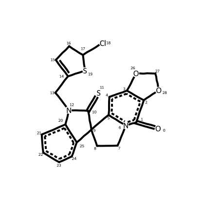 O=c1c2c(cc3n1CCC31C(=S)N(CC3=CCC(Cl)S3)c3ccccc31)OCO2